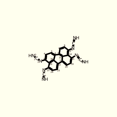 N=C=Nc1ccc2c3ccc(N=C=N)c4c(N=C=N)ccc(c5ccc(N=C=N)c1c25)c43